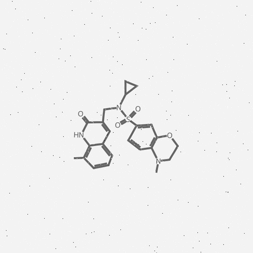 Cc1cccc2cc(CN(C3CC3)S(=O)(=O)c3ccc4c(c3)OCCN4C)c(=O)[nH]c12